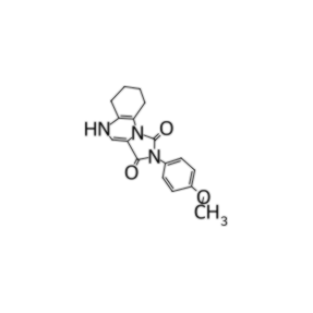 COc1ccc(-n2c(=O)c3c[nH]c4c(n-3c2=O)CCCC4)cc1